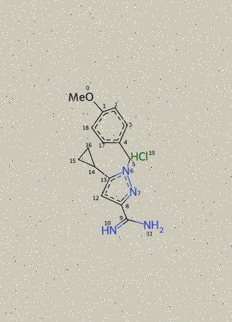 COc1ccc(Cn2nc(C(=N)N)cc2C2CC2)cc1.Cl